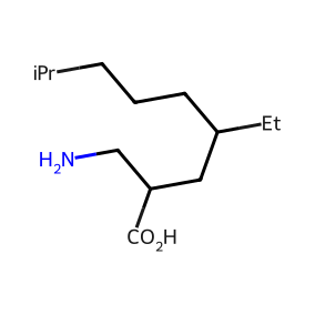 CCC(CCCC(C)C)CC(CN)C(=O)O